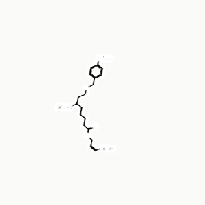 CCCCCCCCCC/C=C\COC(=O)CCCCC(CCCCCCCCC)CCOCc1ccc(OC)cc1